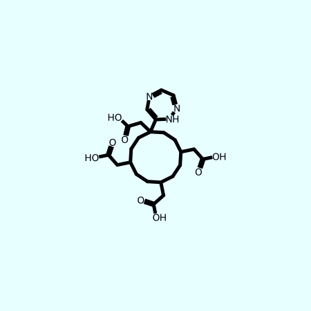 O=C(O)CC1CCC(CC(=O)O)CCC(CC(=O)O)(C2=CN=CC=NN2)CCC(CC(=O)O)CC1